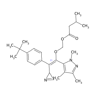 Cc1nn(C)c(/C(OCOC(=O)CC(C)C)=C(/c2ccc(C(C)(C)C)cc2)C2C=N2)c1C